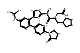 CN(C(=O)[C@@H](CC(=O)O)CC1CCCC1)c1nc(-c2cc(OC(F)F)ccc2-c2ccc(N3CCCC3=O)nc2)cs1